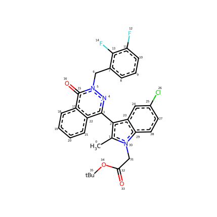 Cc1c(-c2nn(Cc3cccc(F)c3F)c(=O)c3ccccc23)c2cc(Cl)ccc2n1CC(=O)OC(C)(C)C